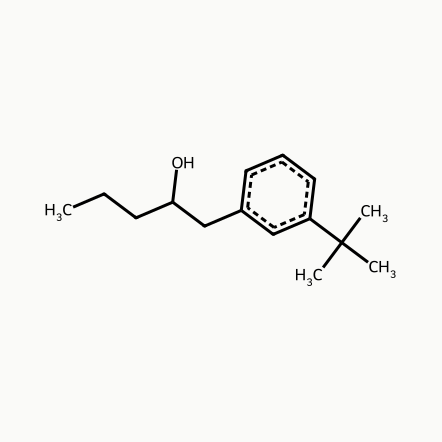 CCCC(O)Cc1cccc(C(C)(C)C)c1